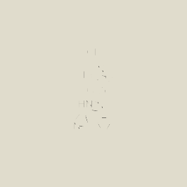 CC1(C(=O)N2CCCC(CO)C2)COC(c2nc(-c3ccc(F)cc3)c(-c3ccncc3)[nH]2)OC1